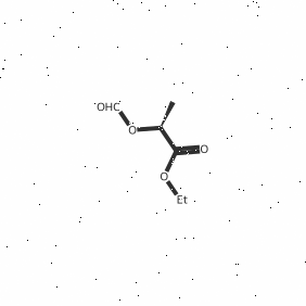 CCOC(=O)[C@H](C)OC=O